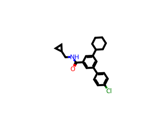 O=C(NCC1CC1)c1cc(-c2ccc(Cl)cc2)cc(C2CCCCC2)c1